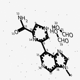 Cn1cnc2c(-c3cncc(C(N)=O)n3)cncc21.O=CO.O=CO